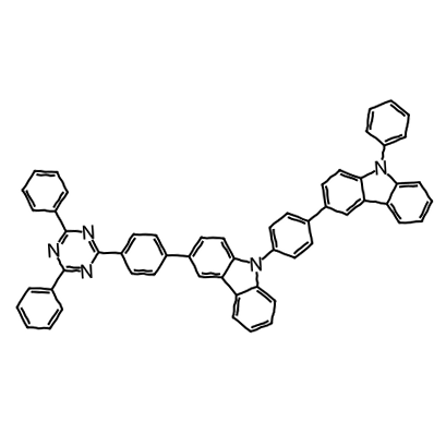 c1ccc(-c2nc(-c3ccccc3)nc(-c3ccc(-c4ccc5c(c4)c4ccccc4n5-c4ccc(-c5ccc6c(c5)c5ccccc5n6-c5ccccc5)cc4)cc3)n2)cc1